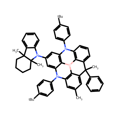 Cc1cc2c3c(c1)C(C)(c1ccccc1)c1cccc4c1B3c1c(cc(N3c5ccccc5C5(C)CCCCC35C)cc1N2c1ccc(C(C)(C)C)cc1)N4c1ccc(C(C)(C)C)cc1